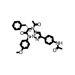 COc1ccc(N(C)C(=O)[C@H](Cc2ccccc2)N(C(C)=O)n2cc(-c3ccc(NC(C)=O)cc3)nn2)cc1